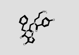 NCCCN(Cc1nn2ccc(Cl)c2c(=O)n1Cc1ccccc1)C(=O)c1ccc(Cl)cc1